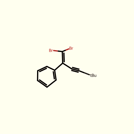 CC(C)(C)C#CC(=C(Br)Br)c1ccccc1